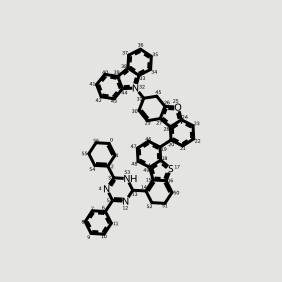 C1=CC(C2=NC(c3ccccc3)=NC(C3=c4c(sc5c(-c6cccc7oc8c(c67)C=CC(n6c7ccccc7c7ccccc76)C8)cccc45)=CCC3)N2)=CCC1